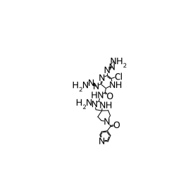 NN=NC1=NC(N=NN)=C(Cl)NC1C(=O)NC1NC2(CCN(C(=O)c3ccncc3)CC2)CN1N